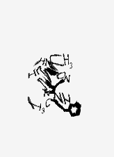 CNC(=O)Nc1snc(NC(C)Cc2ccccc2)c1C#N